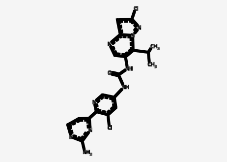 CC(C)c1c(NC(=O)Nc2cnc(-c3ccnc(N)n3)c(Cl)c2)cnc2cc(Cl)nn12